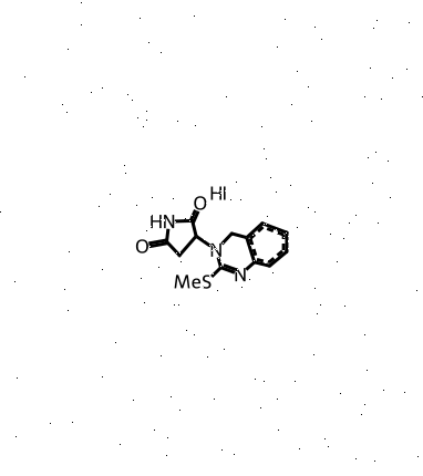 CSC1=Nc2ccccc2CN1C1CC(=O)NC1=O.I